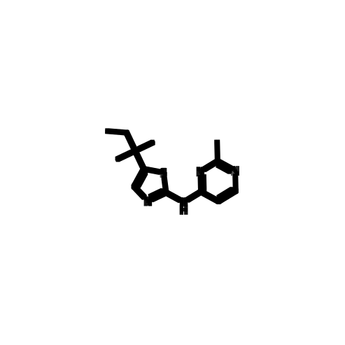 CCC(C)(C)c1cnc(Nc2ccnc(C)n2)s1